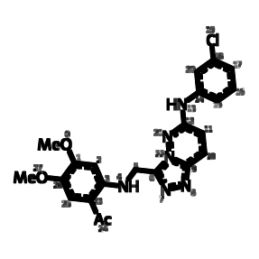 COc1cc(NCc2nnc3ccc(Nc4cccc(Cl)c4)nn23)c(C(C)=O)cc1OC